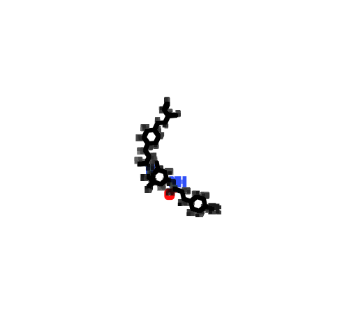 C=CC(=C)CCC1CCC(CCC(=C)N2CC3(C)CC(NC(=O)CCC4CCC(CC)CC4)CC2(C)C3)CC1